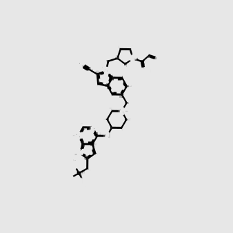 C=CC(=C)N1CCC(Cn2c(C#N)cc3cc(CN4CCC(Nc5ncnc6sc(CC(F)(F)F)cc56)CC4)ccc32)C1